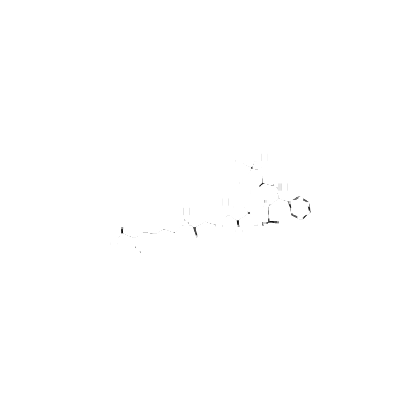 CC(C)(C)OC(=O)NC(c1ccccc1)[C@@H](OC(C)(C)C(=O)COCC(=O)NCCCC[C@H](N)C(=O)O)C(=O)O